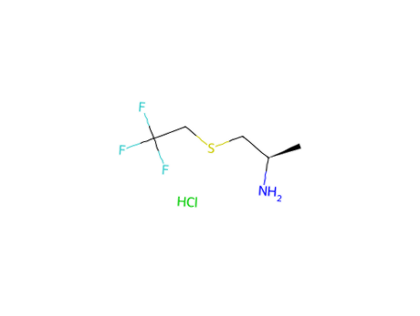 C[C@@H](N)CSCC(F)(F)F.Cl